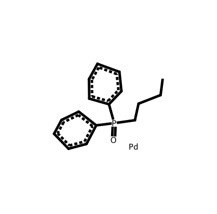 CCCCP(=O)(c1ccccc1)c1ccccc1.[Pd]